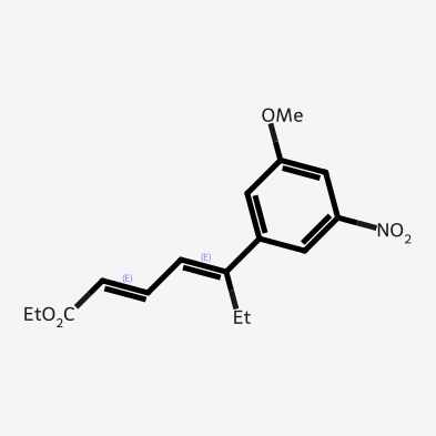 CCOC(=O)/C=C/C=C(\CC)c1cc(OC)cc([N+](=O)[O-])c1